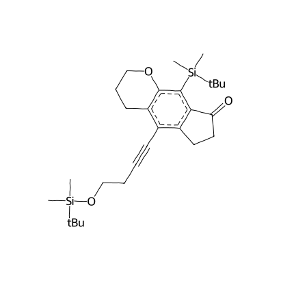 CC(C)(C)[Si](C)(C)OCCC#Cc1c2c(c([Si](C)(C)C(C)(C)C)c3c1CCC3=O)OCCC2